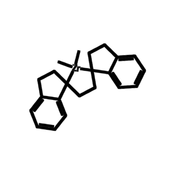 [CH3][Zr]1([CH3])[C]2(CCc3ccccc32)CC[C]12CCc1ccccc12